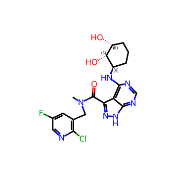 CN(Cc1cc(F)cnc1Cl)C(=O)c1n[nH]c2ncnc(N[C@@H]3CCC[C@@H](O)[C@H]3O)c12